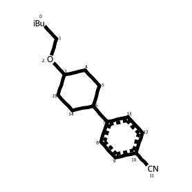 CCC(C)COC1CCC(c2ccc(C#N)cc2)CC1